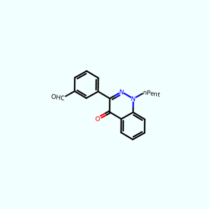 CCCCCn1nc(-c2cccc(C=O)c2)c(=O)c2ccccc21